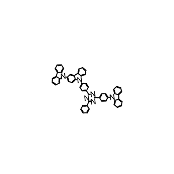 c1ccc(-c2nc(-c3ccc(-n4c5ccccc5c5ccccc54)cc3)nc(-c3ccc(-n4c5ccccc5c5cc(-n6c7ccccc7c7ccccc76)ccc54)cc3)n2)cc1